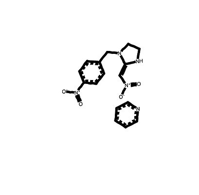 O=[N+]([O-])C=C1NCCN1Cc1ccc([N+](=O)[O-])cc1.c1ccncc1